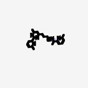 C/C(=N\OCCCc1cc(C)nc(-c2cccc(C)n2)n1)c1cccc(C)n1